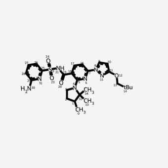 CC1CCN(c2nc(-n3ccc(OCC(C)(C)C)n3)ccc2C(=O)NS(=O)(=O)c2cccc(N)n2)C1(C)C